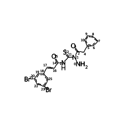 NN(C(=O)Cc1ccccc1)C(=S)NC(=O)C=Cc1cc(Br)cc(Br)c1